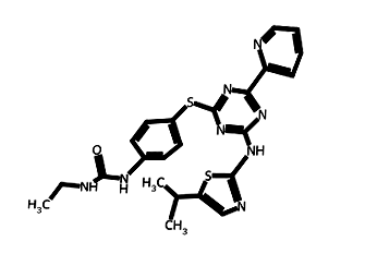 CCNC(=O)Nc1ccc(Sc2nc(Nc3ncc(C(C)C)s3)nc(-c3ccccn3)n2)cc1